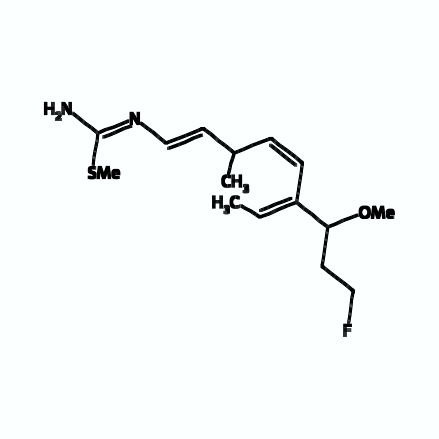 C/C=C(\C=C/C(C)/C=C/N=C(/N)SC)C(CCF)OC